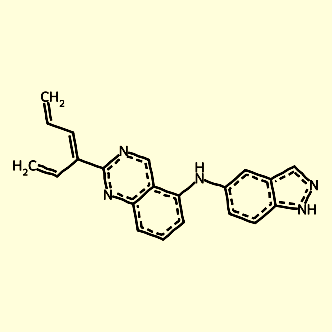 C=C/C=C(\C=C)c1ncc2c(Nc3ccc4[nH]ncc4c3)cccc2n1